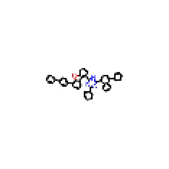 c1ccc(-c2ccc(-c3cccc4c3oc3cccc(-c5nc(-c6ccccc6)nc(-c6ccc(-c7ccccc7)c7ccccc67)n5)c34)cc2)cc1